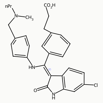 CCCN(C)Cc1ccc(N/C(=C2\C(=O)Nc3cc(Cl)ccc32)c2cccc(CCC(=O)O)c2)cc1